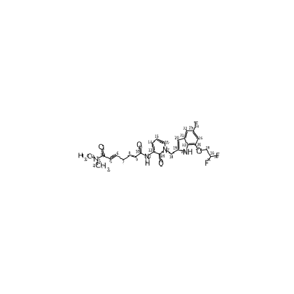 CN(C)C(=O)/C=C/CCCC(=O)Nc1cccn(Cc2cc3cc(F)cc(OCC(F)F)c3[nH]2)c1=O